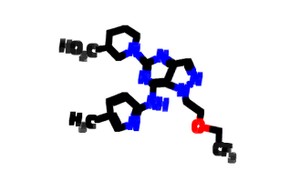 Cc1ccc(Nc2nc(N3CCC[C@H](C(=O)O)C3)nc3cnn(CCOCC(F)(F)F)c23)nc1